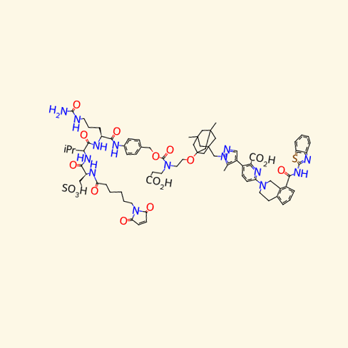 Cc1c(-c2ccc(N3CCc4cccc(C(=O)Nc5nc6ccccc6s5)c4C3)nc2C(=O)O)cnn1CC12CC3(C)CC(C)(C1)CC(OCCN(CCC(=O)O)C(=O)OCc1ccc(NC(=O)[C@H](CCCNC(N)=O)NC(=O)C(NC(=O)[C@H](CS(=O)(=O)O)NC(=O)CCCCCN4C(=O)C=CC4=O)C(C)C)cc1)(C3)C2